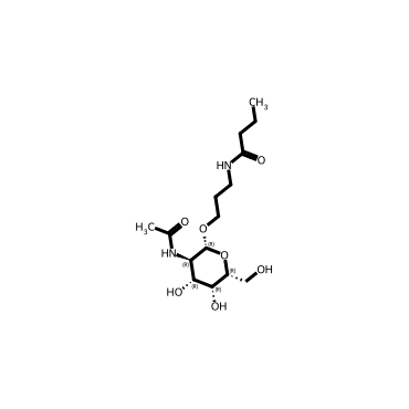 CCCC(=O)NCCCO[C@@H]1O[C@H](CO)[C@H](O)[C@H](O)[C@H]1NC(C)=O